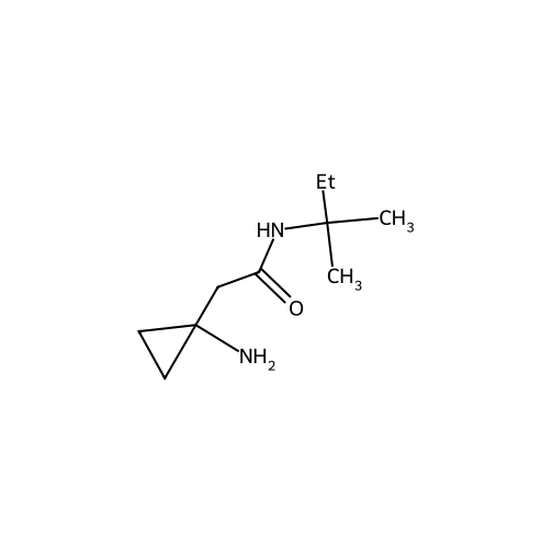 CCC(C)(C)NC(=O)CC1(N)CC1